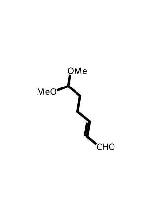 COC(CCC=CC=O)OC